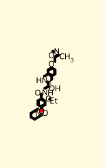 CCOc1cc(C(=O)N2C3CCCC2COC3)ccc1C(=O)NC[C@@H](O)[C@@H]1Cc2ccc(OCc3ocnc3C)cc2CN1